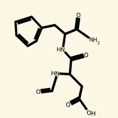 NC(=O)C(Cc1ccccc1)NC(=O)C(CC(=O)O)NC=O